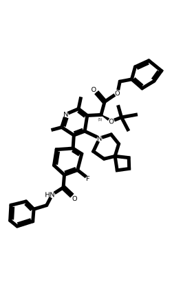 Cc1nc(C)c([C@H](OC(C)(C)C)C(=O)OCc2ccccc2)c(N2CCC3(CCC3)CC2)c1-c1ccc(C(=O)NCc2ccccc2)c(F)c1